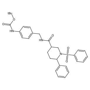 CC(C)(C)OC(=O)Nc1ccc(CNC(=O)C2CCC(c3ccccc3)N(S(=O)(=O)c3ccccc3)C2)cc1